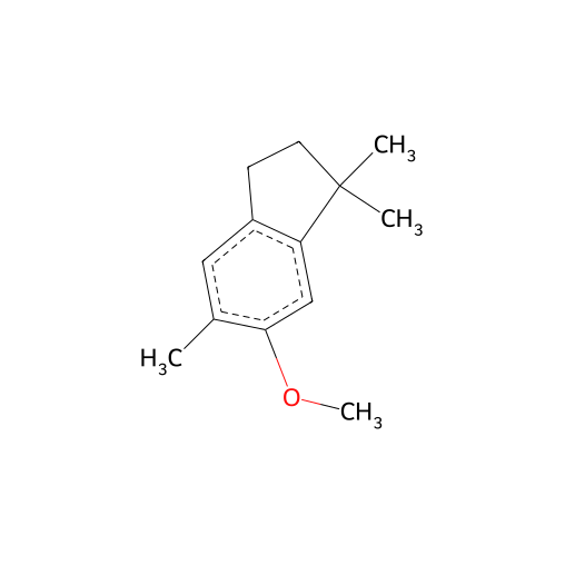 COc1cc2c(cc1C)CCC2(C)C